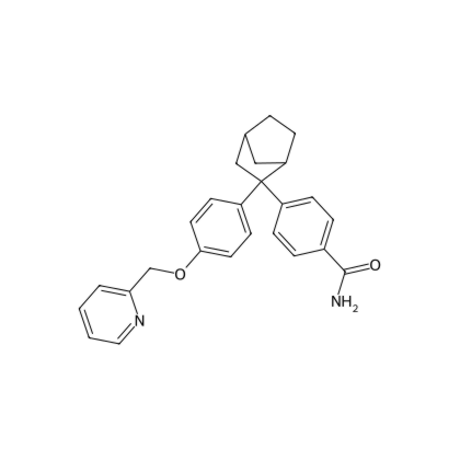 NC(=O)c1ccc(C2(c3ccc(OCc4ccccn4)cc3)CC3CCC2C3)cc1